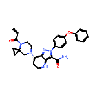 C=CC(=O)N1CCN([C@H]2CCNc3c2nn(-c2ccc(Oc4ccccc4)cc2)c3C(N)=O)CC12CC2